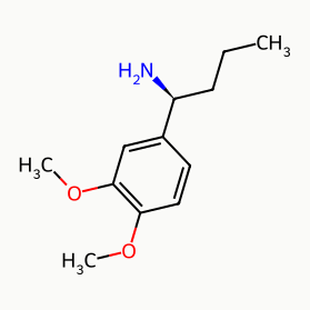 CCC[C@H](N)c1ccc(OC)c(OC)c1